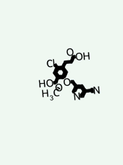 COC(O)c1cc(Cl)c(CCC(=O)O)cc1OCc1cncc(C#N)c1